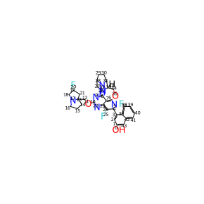 Oc1cc(-c2nc3c4c(nc(OCC56CCCN5C[C@H](F)C6)nc4c2F)N2CC4CCC(N4)[C@H]2CO3)c2c(F)cccc2c1